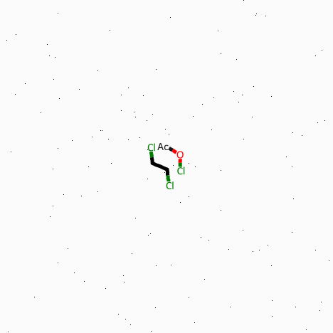 CC(=O)OCl.ClCCCl